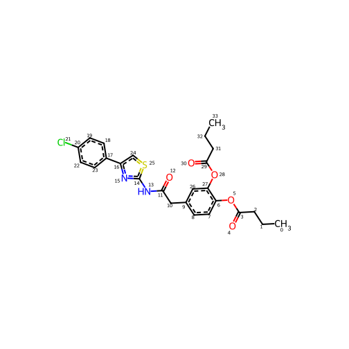 CCCC(=O)Oc1ccc(CC(=O)Nc2nc(-c3ccc(Cl)cc3)cs2)cc1OC(=O)CCC